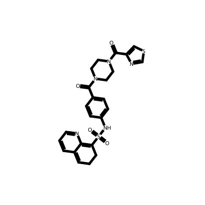 O=C(c1ccc(NS(=O)(=O)C2=c3ncccc3=CCC2)cc1)N1CCN(C(=O)c2cscn2)CC1